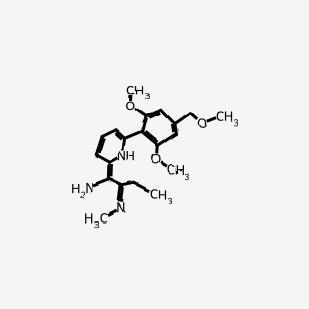 CCC(=N/C)/C(N)=C1/C=CC=C(c2c(OC)cc(COC)cc2OC)N1